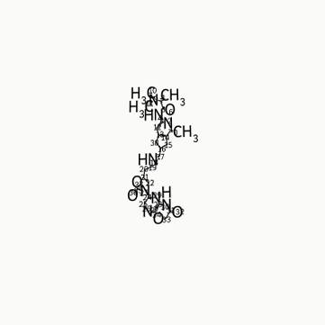 Cc1nc(NC(=O)[C@@H](C)N(C)C)cc2c1CC(CNCCC1CN(c3cnc4c(n3)NC(=O)CO4)C(=O)O1)C2